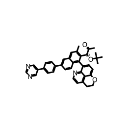 CC(=O)[C@@H](OC(C)(C)C)c1c(C)cc2cc(-c3ccc(-c4cncnc4)cc3)ccc2c1-c1ccc2c3c(ccnc13)CCO2